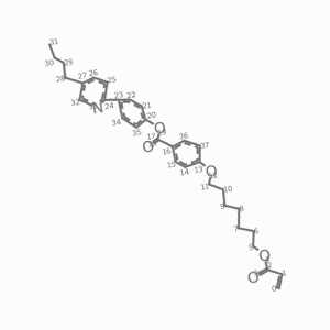 C=CC(=O)OCCCCCCCOc1ccc(C(=O)Oc2ccc(-c3ccc(CCCC)cn3)cc2)cc1